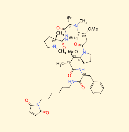 CC[C@H](C)[C@@H]([C@@H](CC(=O)N1CCC[C@H]1[C@H](OC)[C@@H](C)C(=O)N[C@@H](Cc1ccccc1)C(=O)NCCCCCCN1C(=O)C=CC1=O)OC)N(C)[C@H](C(=O)NC(=O)[C@@]1(C)CCCN1C)C(C)C